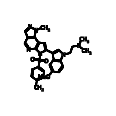 COc1ccc2c(c1)c(-c1cc3c4c(cnc3n1S(=O)(=O)c1ccc(C)cc1)cnn4C)cn2CCN(C)C